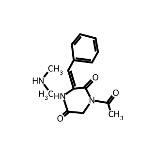 CC(=O)N1CC(=O)NC(=Cc2ccccc2)C1=O.CNC